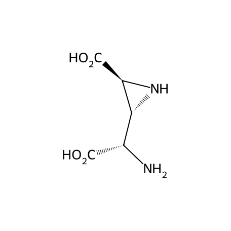 N[C@H](C(=O)O)[C@H]1N[C@@H]1C(=O)O